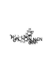 CN(C)CC(=O)N1CCC(c2ccc(NC(=O)c3nc(C#N)c[nH]3)c(C3=CCC(C)(C)CC3)n2)CC1